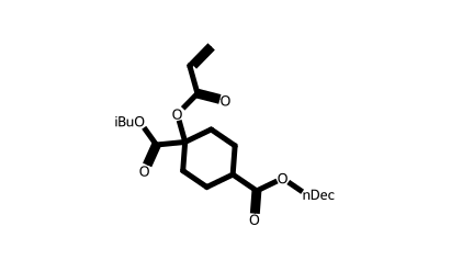 C=CC(=O)OC1(C(=O)OCC(C)C)CCC(C(=O)OCCCCCCCCCC)CC1